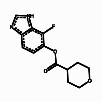 O=C(Oc1ccc2nc[nH]c2c1F)C1CCOCC1